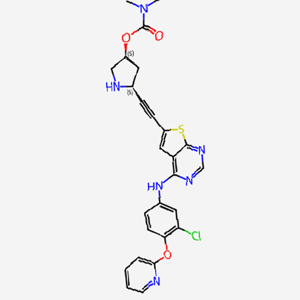 CN(C)C(=O)O[C@@H]1CN[C@H](C#Cc2cc3c(Nc4ccc(Oc5ccccn5)c(Cl)c4)ncnc3s2)C1